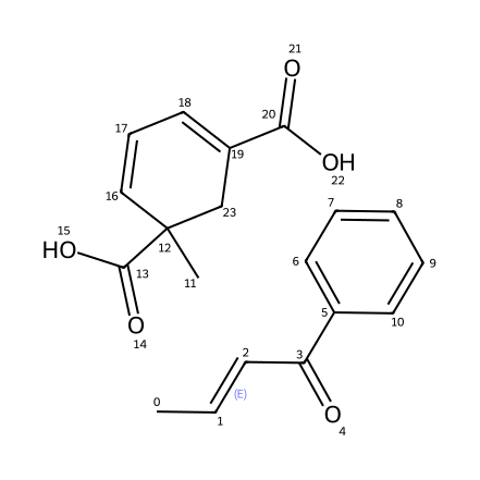 C/C=C/C(=O)c1ccccc1.CC1(C(=O)O)C=CC=C(C(=O)O)C1